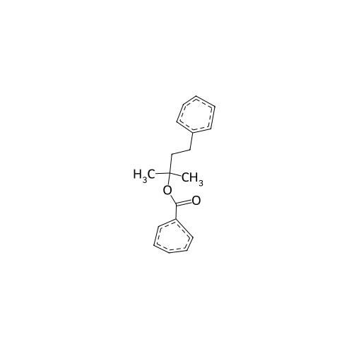 CC(C)(CCc1ccccc1)OC(=O)c1ccccc1